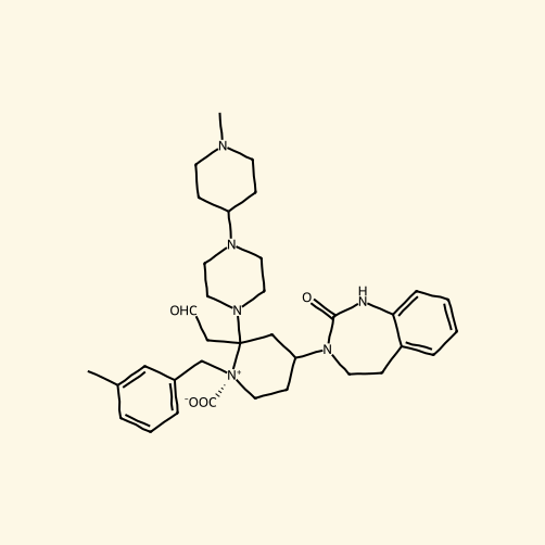 Cc1cccc(C[N@+]2(C(=O)[O-])CCC(N3CCc4ccccc4NC3=O)CC2(CC=O)N2CCN(C3CCN(C)CC3)CC2)c1